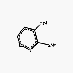 [CH2]Sc1ncccc1C#N